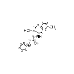 Cc1ccc2c(c1)CC(NC[C@H](O)COc1ccccc1)CCC2.Cl